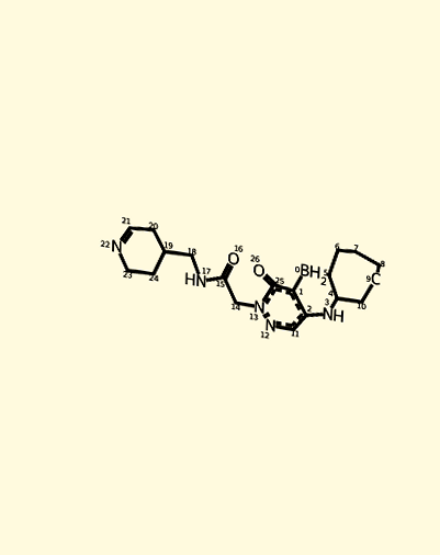 Bc1c(NC2CCCCCC2)cnn(CC(=O)NCC2CC=NCC2)c1=O